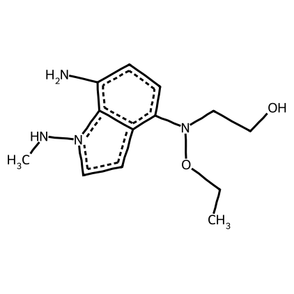 CCON(CCO)c1ccc(N)c2c1ccn2NC